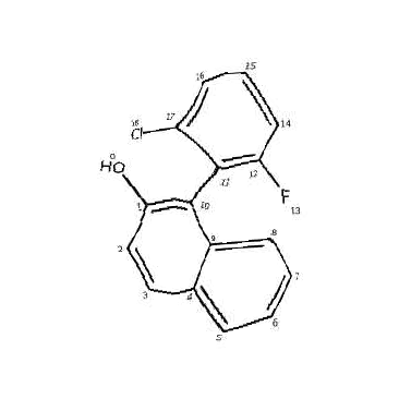 Oc1ccc2ccccc2c1-c1c(F)cccc1Cl